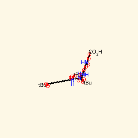 CC(C)(C)OC(=O)CCCCCCCCCCCCCCCCC(=O)N[C@@H](CCC(=O)NC(CC(=O)NCCOCCOCC(=O)NCCOCCOCC(=O)O)CC(=O)OC(C)(C)C)C(=O)OC(C)(C)C